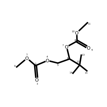 COC(=O)OCC(OC(=O)OC)C(C)(C)C